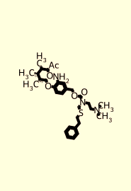 CC(=O)C1OC(Oc2ccc(COC(=O)N(CCN(C)C)CSCCc3ccccc3)cc2N)[C@@H](C)[C@@H](C)C1C